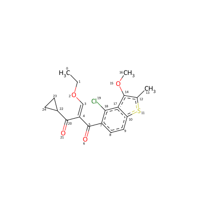 CCOC=C(C(=O)c1ccc2sc(C)c(OC)c2c1Cl)C(=O)C1CC1